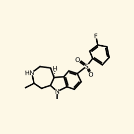 CC1CC2[C@@H](CCN1)c1cc(S(=O)(=O)c3cccc(F)c3)ccc1N2C